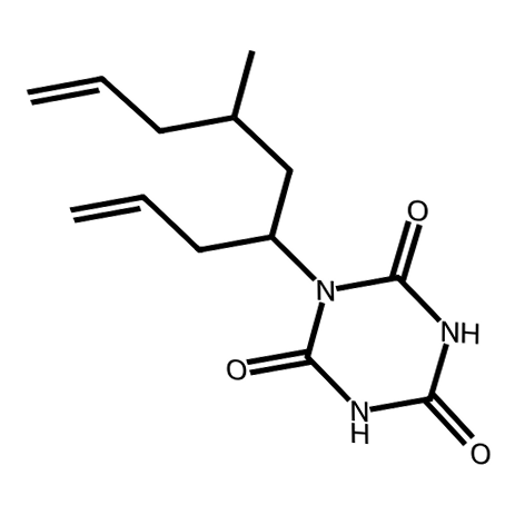 C=CCC(C)CC(CC=C)n1c(=O)[nH]c(=O)[nH]c1=O